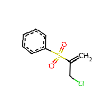 C=C(CCl)S(=O)(=O)c1ccccc1